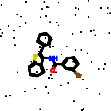 O=C(Nc1c(-c2ccccc2)sc2ccccc12)c1cccc(Br)c1